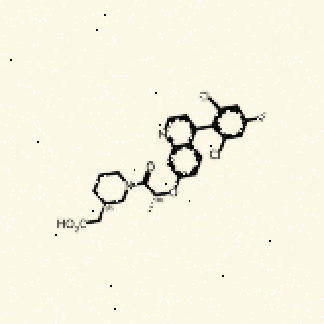 C[C@@H](Oc1ccc2c(-c3c(Cl)cc(F)cc3Cl)ccnc2c1)C(=O)N1CCC[C@H](CC(=O)O)C1